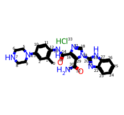 Cc1cc(N2CCNCC2)ccc1NC(=O)c1ncn(-c2nc3ccccc3[nH]2)c1C(N)=O.Cl